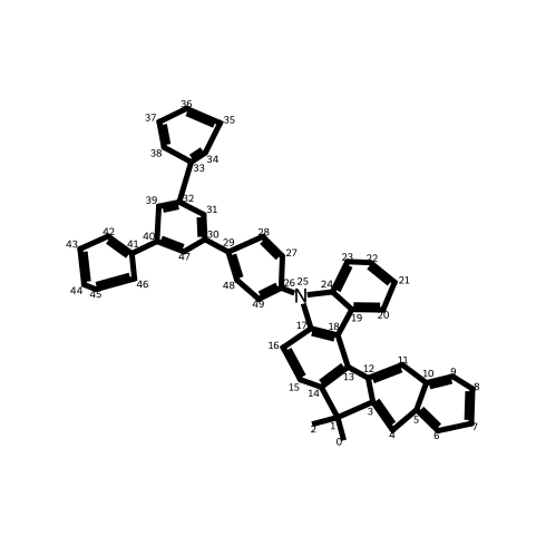 CC1(C)c2cc3ccccc3cc2-c2c1ccc1c2c2ccccc2n1-c1ccc(-c2cc(-c3ccccc3)cc(-c3ccccc3)c2)cc1